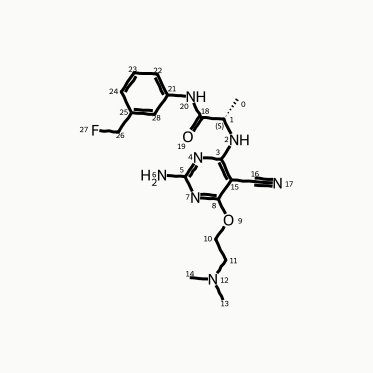 C[C@H](Nc1nc(N)nc(OCCN(C)C)c1C#N)C(=O)Nc1cccc(CF)c1